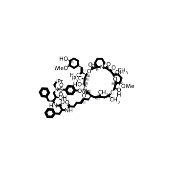 COc1ccc(S(=O)(=O)N(CC(C)C)C[C@@H](O)[C@H](Cc2ccccc2)NC(=O)C(Cc2ccccc2)NC(=O)CC/C=C/C[C@@H]2/C=C(\C)C[C@H](C)C[C@H](O)[C@H]3O[C@@](O)(C(=O)C(=O)N4CCCC[C@H]4C(=O)O[C@H](/C(C)=C/[C@@H]4CC[C@@H](O)[C@H](OC)C4)[C@H](C)[C@@H](O)CC2=O)[C@H](C)C[C@@H]3OC)cc1